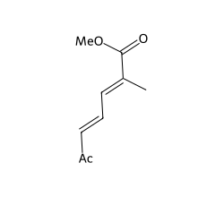 COC(=O)C(C)=CC=CC(C)=O